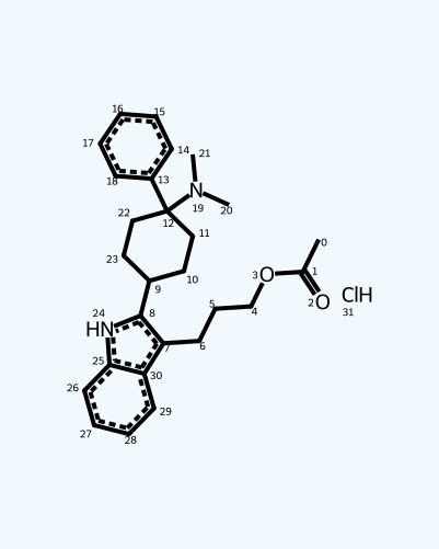 CC(=O)OCCCc1c(C2CCC(c3ccccc3)(N(C)C)CC2)[nH]c2ccccc12.Cl